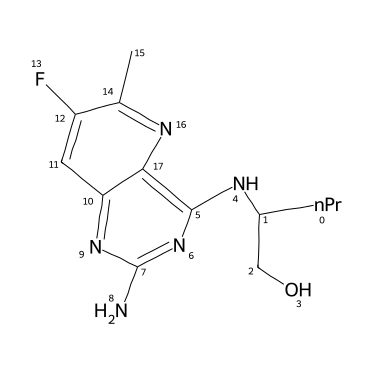 CCCC(CO)Nc1nc(N)nc2cc(F)c(C)nc12